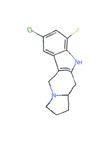 Fc1cc(Cl)cc2c3c([nH]c12)CC1CCCN1C3